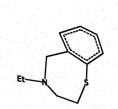 CCN1CCSc2ccccc2C1